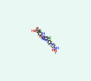 COC(=O)NC1CCN(c2ccc(-c3nc4nc(O[C@H]5CC[C@](F)(C(C)(C)C(=O)O)CC5)[nH]c4cc3Cl)cc2)CC1